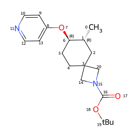 C[C@@H]1CC2(CC[C@H]1Oc1ccncc1)CN(C(=O)OC(C)(C)C)C2